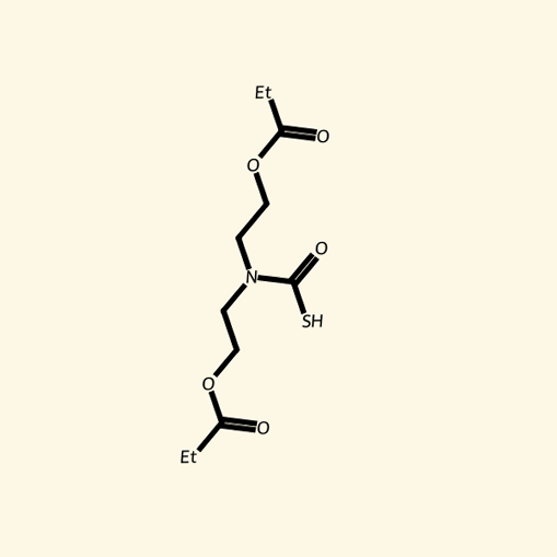 CCC(=O)OCCN(CCOC(=O)CC)C(=O)S